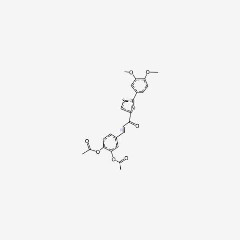 COc1ccc(-c2nc(C(=O)/C=C/c3ccc(OC(C)=O)c(OC(C)=O)c3)cs2)cc1OC